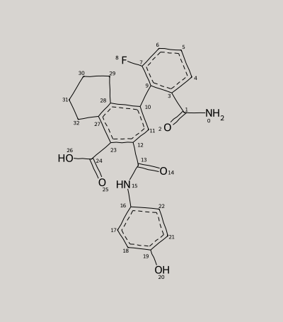 NC(=O)c1cccc(F)c1-c1cc(C(=O)Nc2ccc(O)cc2)c(C(=O)O)c2c1CCCC2